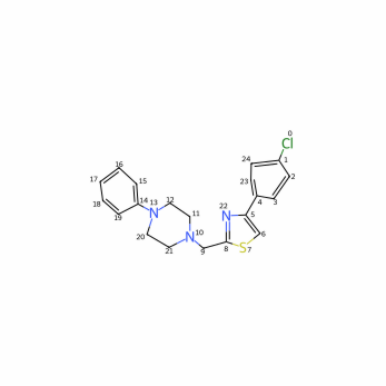 Clc1ccc(-c2csc(CN3CCN(c4ccccc4)CC3)n2)cc1